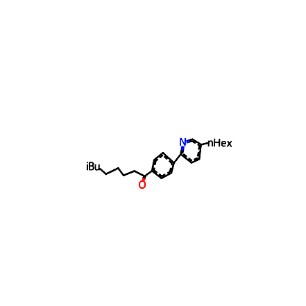 CCCCCCc1ccc(-c2ccc(C(=O)CCCCC(C)CC)cc2)nc1